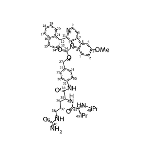 COc1ccc2c(c1)c1ccnc(-c3cccc4ccccc34)c1n2C(=O)OCc1ccc(NC(=O)C(CCCNC(N)=O)NC(=O)[C@@H](NC(C)C)C(C)C)cc1